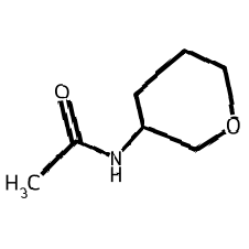 CC(=O)NC1CCCOC1